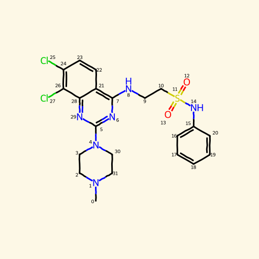 CN1CCN(c2nc(NCCS(=O)(=O)Nc3ccccc3)c3ccc(Cl)c(Cl)c3n2)CC1